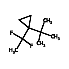 CC(C)(C)C1(C(C)(F)F)CC1